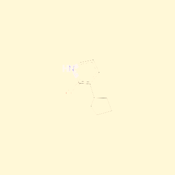 O=c1[nH]cccc1C1CCCC1